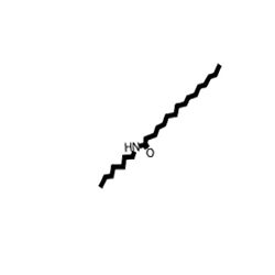 CCCCCCCCCCCCCCCC(=O)NCCCCCCC